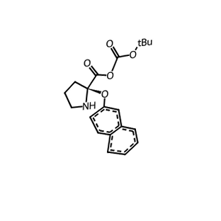 CC(C)(C)OC(=O)OC(=O)[C@@]1(Oc2ccc3ccccc3c2)CCCN1